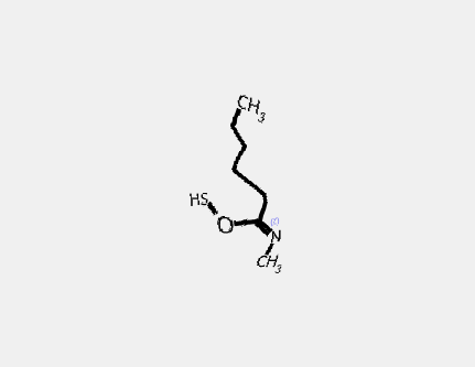 CCCCC/C(=N/C)OS